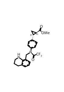 COC(=O)[C@@H]1C[C@H]1c1ccc(N(Cc2cccc3c2NCCC3)C(=O)C(F)(F)F)cc1